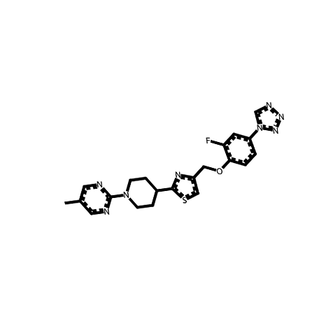 Cc1cnc(N2CCC(c3nc(COc4ccc(-n5cnnn5)cc4F)cs3)CC2)nc1